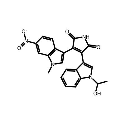 CC(O)n1cc(C2=C(c3cn(C)c4cc([N+](=O)[O-])ccc34)C(=O)NC2=O)c2ccccc21